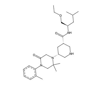 CCOC[C@@H](CC(C)C)NC(=O)[C@@H]1CNC[C@H](N2CC(=O)N(c3ccccc3C)CC2(C)C)C1